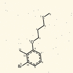 CSCCCOc1cccc(Br)c1C